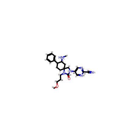 CNC1CC2(CCC1c1ccccc1)CN(c1cnc(C#N)nc1)C(=O)N2CCCOC